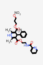 CC1=C(C(=O)OCCCO[N+](=O)[O-])C(c2ccccc2[N+](=O)[O-])C(C(=O)OCCNC(=O)c2ccccn2)=C(C)N1